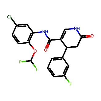 O=C1CC(c2cccc(F)c2)C(C(=O)Nc2cc(Cl)ccc2OC(F)F)=CN1